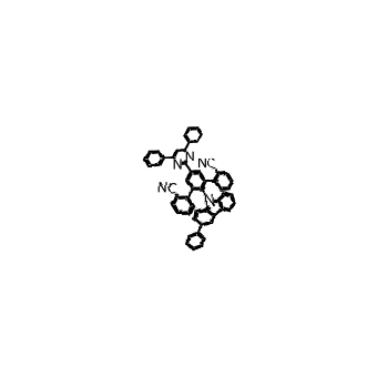 N#Cc1ccccc1-c1cc(-c2nc(-c3ccccc3)cc(-c3ccccc3)n2)cc(-c2ccccc2C#N)c1-n1c2ccccc2c2cc(-c3ccccc3)ccc21